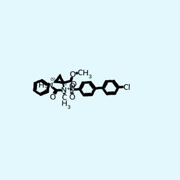 COC(=O)[C@@]1([N+](C)(C(N)=O)S(=O)(=O)c2ccc(-c3ccc(Cl)cc3)cc2)C[C@H]1c1ccccc1